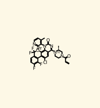 C=CC(=O)N1CCN(c2nc(=O)n(-c3c(C)ccnc3C(C)C)c3c4c(c(Cl)cc23)-c2c(ccc(F)c2F)C(F)(F)O4)[C@@H](C)C1